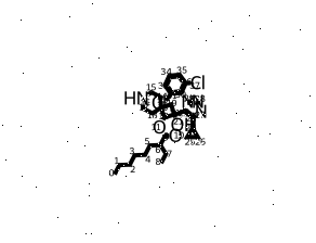 CCCCCCC(CC)C(=O)OC1C2(CCNCC2)CC1(O)c1c(C2CC2)nnn1-c1c(Cl)cccc1Cl